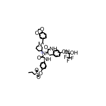 CCCS(=O)(=O)Oc1ccc(NC(=O)/[N+](=C2\CCC[N+](C)(Cc3ccc4c(c3)OCO4)C2)[C@@H](Cc2ccc(O)cc2)C(N)=O)cc1.O=C(O)C(F)(F)F